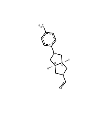 Cc1ccc(N2C[C@H]3CN(C=O)C[C@H]3C2)cc1